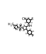 Cn1cnc(S(=O)(=O)N2CC(Nc3cc(F)cc(Cl)c3)C(c3ccc(F)cc3)C2)c1